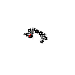 C[N+]1([C@@H](C(=O)N2CCC[C@H]2c2ncc(-c3ccc(-c4ccc(-c5cnc([C@@H]6CCCN6C(=O)[C@@H]6CCCO6)[nH]5)cc4)cc3)[nH]2)c2ccccc2)C[C@H](F)C[C@H]1C(N)=O